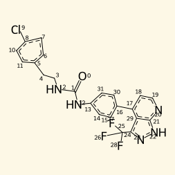 O=C(NCCc1ccc(Cl)cc1)Nc1ccc(-c2ccnc3[nH]nc(C(F)(F)F)c23)cc1